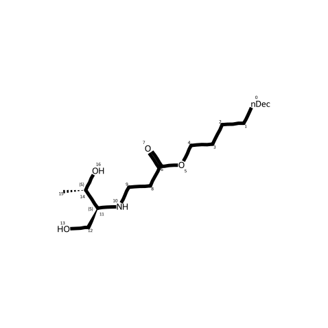 CCCCCCCCCCCCCCOC(=O)CCN[C@@H](CO)[C@H](C)O